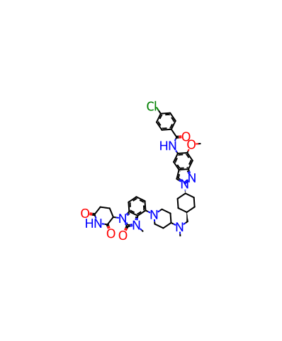 COc1cc2nn([C@H]3CC[C@H](CN(C)C4CCN(c5cccc6c5n(C)c(=O)n6C5CCC(=O)NC5=O)CC4)CC3)cc2cc1NC(=O)c1ccc(Cl)cc1